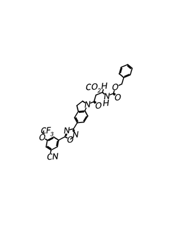 N#Cc1cc(OC(F)(F)F)cc(-c2nc(-c3ccc4c(c3)CCN4C(=O)CC(NC(=O)OCc3ccccc3)C(=O)O)no2)c1